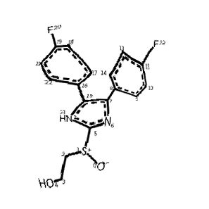 [O-][S+](CCO)c1nc(-c2ccc(F)cc2)c(-c2ccc(F)cc2)[nH]1